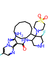 Nc1nn2cc(F)cnc2c1C(=O)NC1CNCC(F)C1(C1CCCCCCCCC1)N1CCS(=O)(=O)CC1